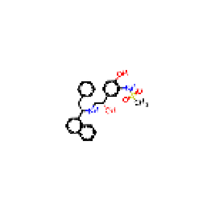 CS(=O)(=O)Nc1cc([C@H](O)CN[C@H](Cc2ccccc2)c2cccc3ccccc23)ccc1O